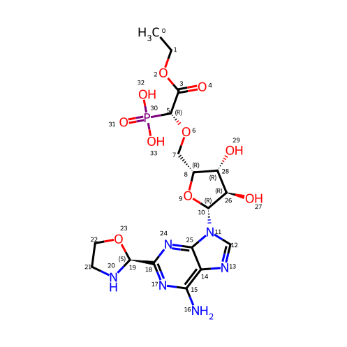 CCOC(=O)[C@H](OC[C@H]1O[C@@H](n2cnc3c(N)nc([C@H]4NCCO4)nc32)[C@H](O)[C@H]1O)P(=O)(O)O